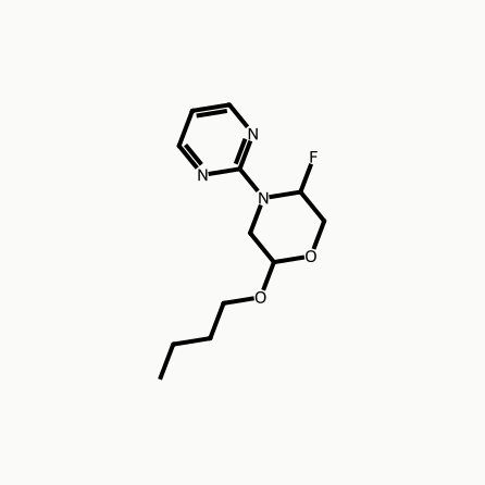 CCCCOC1CN(c2ncccn2)C(F)CO1